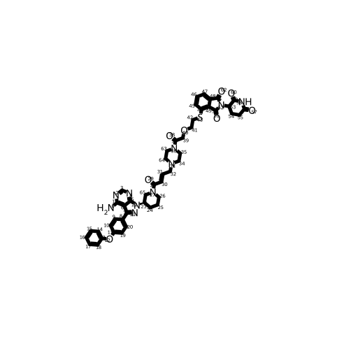 Nc1ncnc2c1c(-c1ccc(Oc3ccccc3)cc1)nn2[C@@H]1CCCN(C(=O)/C=C/CN2CCN(C(=O)COCCSc3cccc4c3C(=O)N(C3CCC(=O)NC3=O)C4=O)CC2)C1